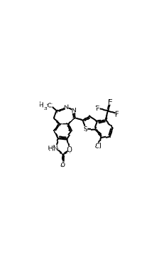 CC1=NN=C(c2cc3c(C(F)(F)F)ccc(Cl)c3s2)c2cc3oc(=O)[nH]c3cc2C1